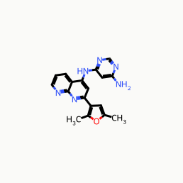 Cc1cc(-c2cc(Nc3cc(N)ncn3)c3cccnc3n2)c(C)o1